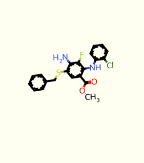 COC(=O)c1cc(SCc2ccccc2)c(N)c(F)c1Nc1ccccc1Cl